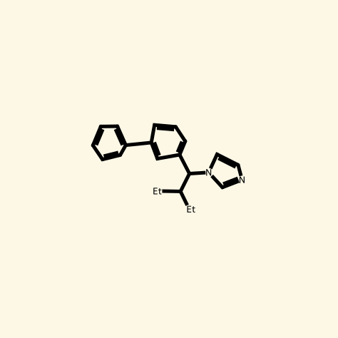 CCC(CC)C(c1cccc(-c2ccccc2)c1)n1ccnc1